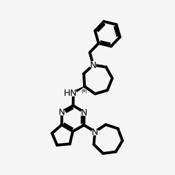 c1ccc(CN2CCCC[C@@H](Nc3nc4c(c(N5CCCCCC5)n3)CCC4)C2)cc1